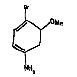 COC1CC(N)=CC=C1Br